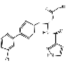 O=C(O)C[C@@H](Cc1ccc(-c2cccc(Cl)c2)cc1)NC(=O)c1cc[nH]n1